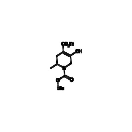 CCOC(=O)C1=C(O)CN(C(=O)OC(C)(C)C)C(C)C1